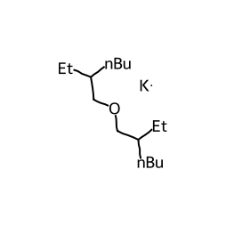 CCCCC(CC)COCC(CC)CCCC.[K]